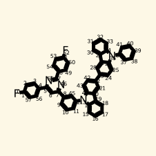 Fc1ccc(-c2cc(-c3cccc(-n4c5ccccc5c5cc(-c6ccc7c(c6)c6ccccc6n7-c6ccccc6)ccc54)c3)nc(-c3ccc(F)cc3)n2)cc1